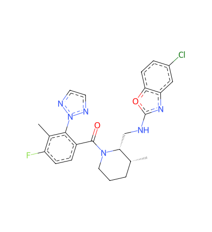 Cc1c(F)ccc(C(=O)N2CCC[C@@H](C)[C@H]2CNc2nc3cc(Cl)ccc3o2)c1-n1nccn1